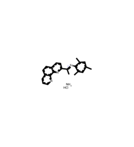 C/[C](=[Fe]\[c]1c(C)cc(C)cc1C)c1ccc2ccc3cccnc3c2n1.Cl.N